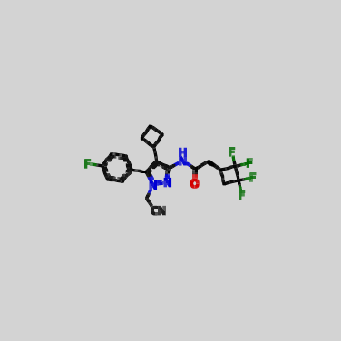 N#CCn1nc(NC(=O)C[C@@H]2CC(F)(F)C2(F)F)c(C2CCC2)c1-c1ccc(F)cc1